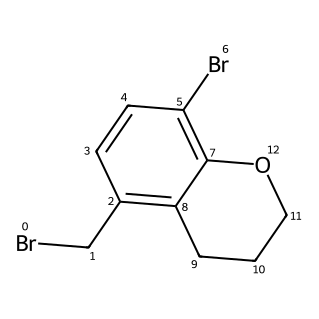 BrCc1ccc(Br)c2c1CCCO2